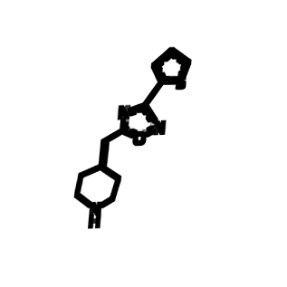 C(=C1CCNCC1)c1nc(-c2cccs2)no1